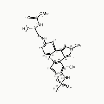 COC(=O)N[C@@H](C)CNc1nccc(-c2cn(C(C)C)nc2-c2c(C)cnc(NS(C)(=O)=O)c2Cl)n1